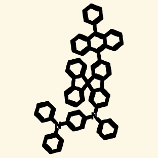 c1ccc(-c2c3ccccc3c(-c3ccc4c(c3)C3(c5ccccc5-c5ccccc53)c3cc(N(c5ccccc5)c5ccc(N(c6ccccc6)c6ccccc6)cc5)ccc3-4)c3ccccc23)cc1